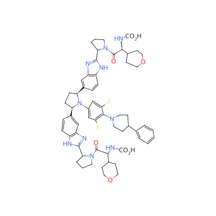 O=C(O)NC(C(=O)N1CCCC1c1nc2cc([C@H]3CC[C@@H](c4ccc5[nH]c(C6CCCN6C(=O)[C@@H](NC(=O)O)C6CCOCC6)nc5c4)N3c3cc(F)c(N4CCC(c5ccccc5)CC4)c(F)c3)ccc2[nH]1)C1CCOCC1